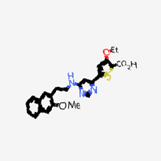 CCOc1cc(-c2cc(NCCc3cc4ccccc4cc3OC)ncn2)sc1C(=O)O